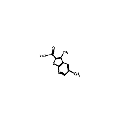 Cc1cnc2sc(C(=O)O)c(C)c2c1